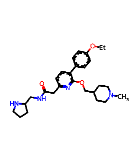 CCOc1ccc(-c2ccc(CC(=O)NCC3CCCN3)nc2OCC2CCN(C)CC2)cc1